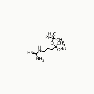 CCO[Si](C)(CCCNC(=N)N)OC(C)(C)C(C)C